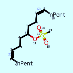 CCCCC/C=C\CCC(CC/C=C\CCCCC)OS(C)(=O)=O